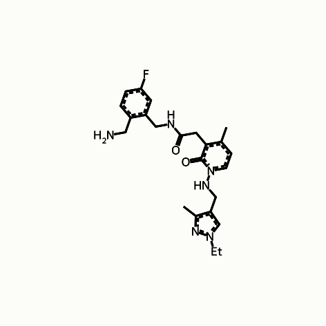 CCn1cc(CNn2ccc(C)c(CC(=O)NCc3cc(F)ccc3CN)c2=O)c(C)n1